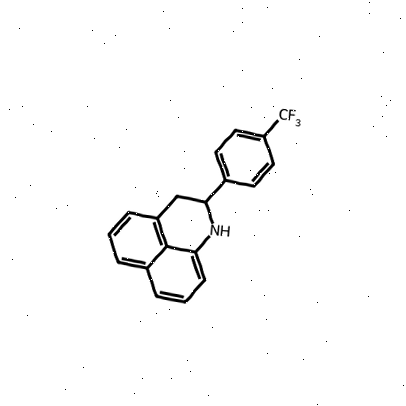 FC(F)(F)c1ccc(C2Cc3cccc4cccc(c34)N2)cc1